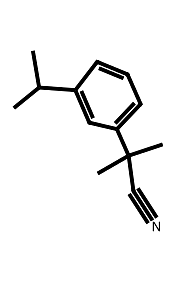 CC(C)c1cccc(C(C)(C)C#N)c1